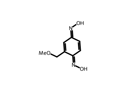 COCC1=CC(=N/O)/C=CC/1=N\O